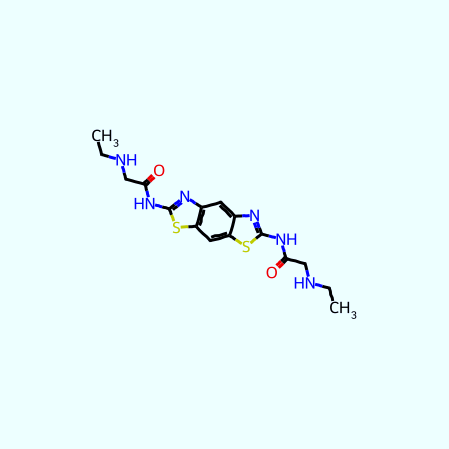 CCNCC(=O)Nc1nc2cc3nc(NC(=O)CNCC)sc3cc2s1